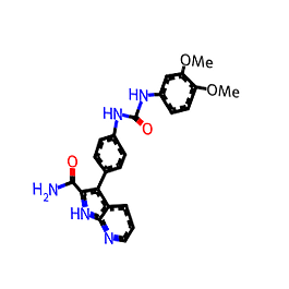 COc1ccc(NC(=O)Nc2ccc(-c3c(C(N)=O)[nH]c4ncccc34)cc2)cc1OC